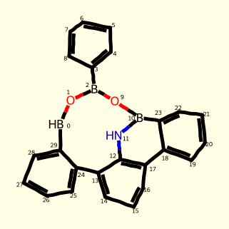 B1OB(c2ccccc2)OB2Nc3c(cccc3-c3ccccc32)-c2ccccc21